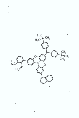 C=Cc1c(/C=C\C)cccc1-c1ccc2c(c1)Oc1cc(N(c3ccc(C(C)(C)C)cc3)c3ccc(C(C)(C)C)cc3)cc3c1B2c1ccc(-c2cccc4ccccc24)cc1O3